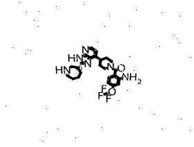 Nc1cc(OC(F)(F)F)ccc1C(=O)N1CCC(c2ccnc3[nH]c([C@@H]4CCCCNC4)nc23)CC1